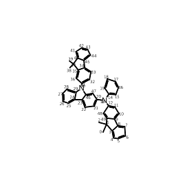 CC1(C)c2ccccc2-c2ccc(N(c3ccccc3)c3ccc4c5ccccc5n(-c5ccc6c(c5)C(C)(C)c5ccccc5-6)c4c3)cc21